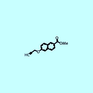 C#CCOc1ccc2cc(C(=O)OC)ccc2c1